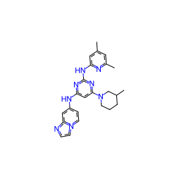 Cc1cc(C)nc(Nc2nc(Nc3ccn4ccnc4c3)cc(N3CCCC(C)C3)n2)c1